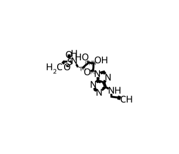 C#CCNc1ncnc2c1ncn2[C@@H]1O[C@H](CNS(=O)(=O)C=C)[C@@H](O)[C@H]1O